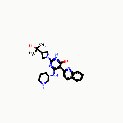 CC(C)(O)C1CN(c2nc(N[C@@H]3CCCNC3)c(-c3ccc4ccccc4n3)c(=O)[nH]2)C1